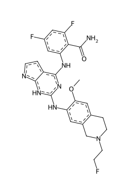 COc1cc2c(cc1Nc1nc(Nc3cc(F)cc(F)c3C(N)=O)c3ccnc-3[nH]1)CN(CCF)CC2